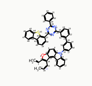 C=Cc1oc2ccc3c(c4ccccc4n3-c3cccc(-c4cccc(-c5nc(-c6ccccc6)nc(-c6cccc7c6sc6ccccc67)n5)c4)c3)c2c1/C=C\C